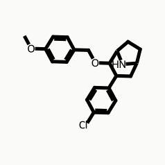 COc1ccc(COC2C3CCC(CC2c2ccc(Cl)cc2)N3)cc1